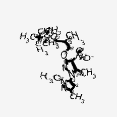 Cc1cc(-n2nc(OC[C@H](C)CO[Si](C)(C)C(C)(C)C)c([N+](=O)[O-])c2C)n(C)n1